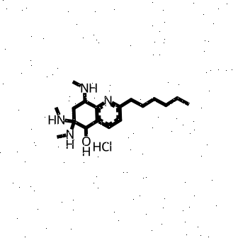 CCCCCCc1ccc2c(n1)C(NC)CC(NC)(NC)C2O.Cl